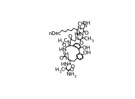 CCCCCCCCCCCCCCCC(=O)N(C)C(CO)C(=O)N[C@H](C)C(=O)NCC(=O)N(C)[C@@H]1C(=O)NCC(=O)N[C@H](C(=O)N[C@@H](C)C(N)=O)Cc2ccc(O)c(c2)-c2cc1ccc2O